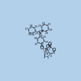 O=C1OC2C3CC(CC13)C2C(=O)Oc1ccc([S+](c2ccccc2)c2ccccc2)cc1